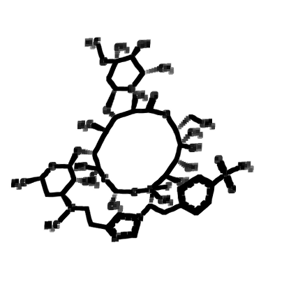 CC[C@H]1OC(=O)[C@H](C)[C@@H](O[C@H]2C[C@@](C)(OC)[C@@H](O)[C@H](C)O2)[C@H](C)[C@@H](O[C@@H]2O[C@H](C)C[C@H](N(C)CCc3cn([C@H](CF)Cc4ccc(S(N)(=O)=O)cc4)cn3)[C@H]2O)[C@](C)(O)C[C@@H](C)CN(C)[C@H](C)[C@@H](O)[C@]1(C)O